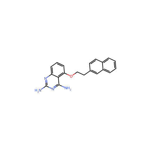 Nc1nc(N)c2c(OCCc3ccc4ccccc4c3)cccc2n1